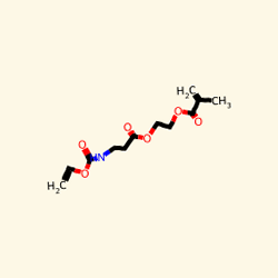 C=COC(=O)NCCC(=O)OCCOC(=O)C(=C)C